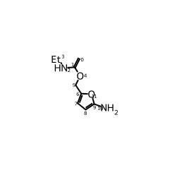 C=C(NCC)OCc1ccc(N)o1